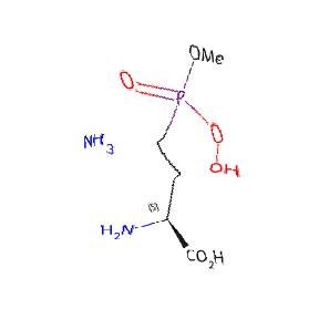 COP(=O)(CC[C@H](N)C(=O)O)OO.N